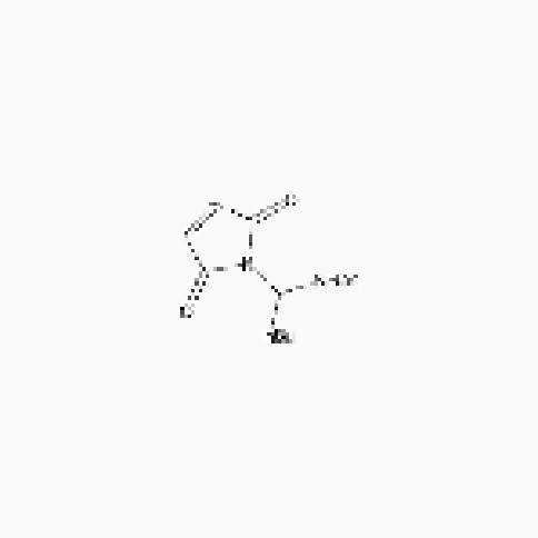 CCCCC(NC(C)=O)N1C(=O)C=CC1=O